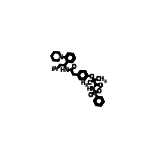 CC(C)CC(NC(=O)Cc1ccc(OC(C)(C)C(=O)NS(=O)(=O)c2ccccc2)cc1)c1ccccc1N1CCCCC1